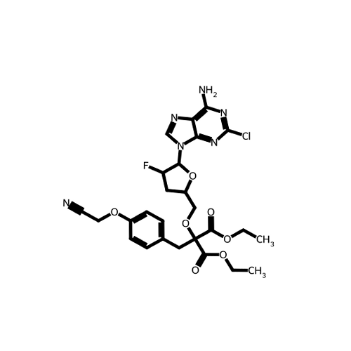 CCOC(=O)C(Cc1ccc(OCC#N)cc1)(OCC1CC(F)C(n2cnc3c(N)nc(Cl)nc32)O1)C(=O)OCC